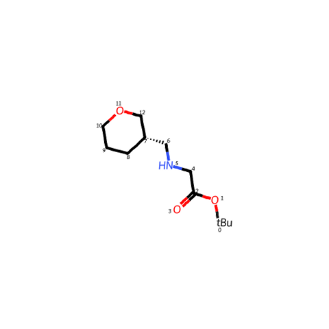 CC(C)(C)OC(=O)CNC[C@@H]1CCCOC1